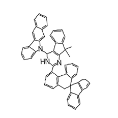 CC1(C)C2=C(c3ccccc31)C(n1c3ccccc3c3cc4ccccc4cc31)NC(c1cccc3c1-c1ccccc1C1(C3)C3=C(C=CCC3)c3ccccc31)=N2